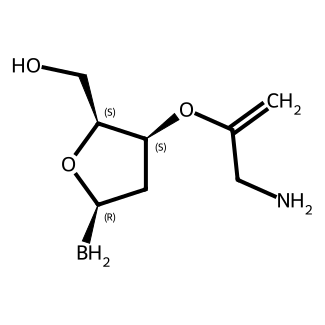 B[C@@H]1C[C@H](OC(=C)CN)[C@H](CO)O1